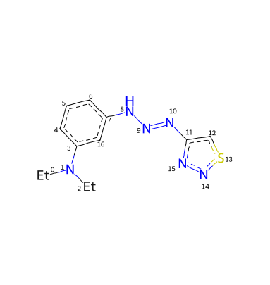 CCN(CC)c1cccc(NN=Nc2csnn2)c1